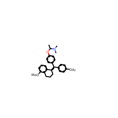 COc1cccc2c1CCCC2=C(c1ccc(OC(C)=O)cc1)c1ccc(OC(C)N(C)C)cc1